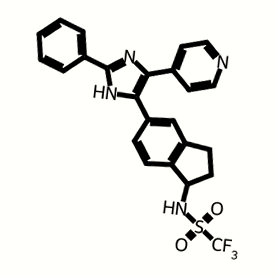 O=S(=O)(NC1CCc2cc(-c3[nH]c(-c4ccccc4)nc3-c3ccncc3)ccc21)C(F)(F)F